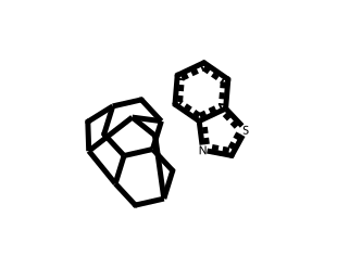 C1C2CC3C4CC5CC(C14)C(C2)C3C5.c1ccc2scnc2c1